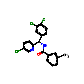 Cc1cccc(C(=O)N[C@@H](c2ccc(Cl)c(Cl)c2)c2ccc(Cl)cn2)c1